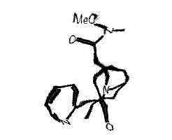 CON(C)C(=O)C12CC(C)CC(C1)N2C(=O)c1ccccn1